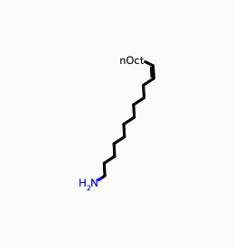 CCCCCCCC/C=C\CCCCCCCCCCN